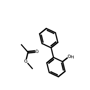 COC(C)=O.Oc1ccccc1-c1ccccc1